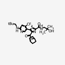 CC(C)(C)CNc1cc(C(F)(F)F)c(-c2sc(C(=O)NCC(C)(C)O)nc2C(=O)N2C3CCC2CC3)cn1